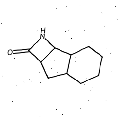 O=C1NC2C1CC1CCCCC12